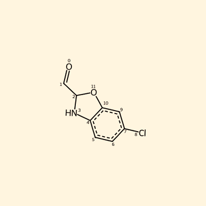 O=CC1Nc2ccc(Cl)cc2O1